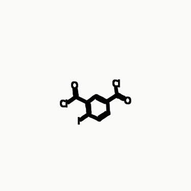 O=C(Cl)c1ccc(I)c(C(=O)Cl)c1